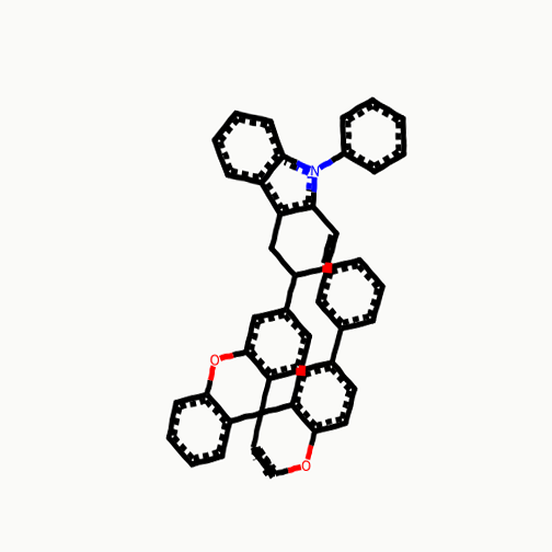 C1=CC(c2ccc3c(c2)Oc2ccccc2C32c3ccccc3Oc3ccc(-c4ccccc4)cc32)Cc2c1n(-c1ccccc1)c1ccccc21